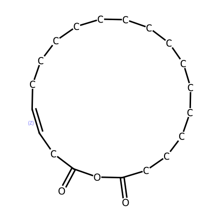 O=C1C/C=C\CCCCCCCCCCCCCCC(=O)O1